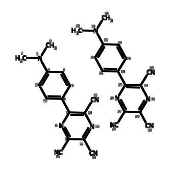 CN(C)c1ccc(-c2nc(C#N)c(C#N)nc2C#N)cc1.CN(C)c1ccc(-c2nc(C#N)c(C#N)nc2C#N)cc1